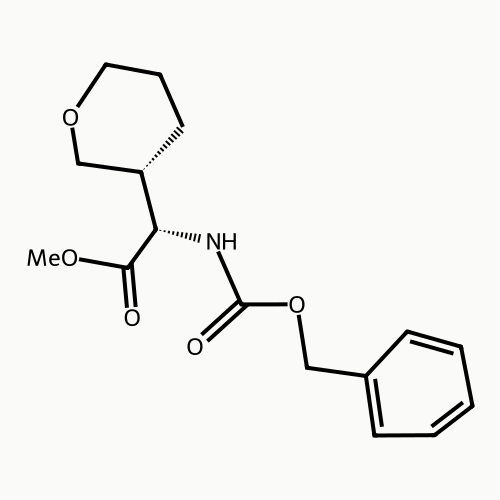 COC(=O)[C@@H](NC(=O)OCc1ccccc1)[C@H]1CCCOC1